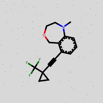 CN1CCOCc2c(C#CC3(C(F)(F)F)CC3)cccc21